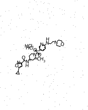 C[C@H]1C[C@@H](NC(=O)c2cc(C3CC3)on2)CCN1S(=O)(=O)c1ccc(NCCN2CCOCC2)nc1.Cl.Cl